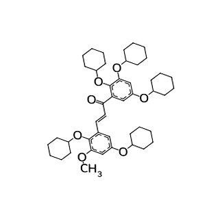 COc1cc(OC2CCCCC2)cc(C=CC(=O)c2cc(OC3CCCCC3)cc(OC3CCCCC3)c2OC2CCCCC2)c1OC1CCCCC1